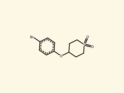 O=S1(=O)CCC(Oc2ccc(Br)cc2)CC1